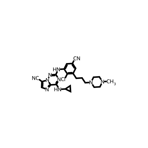 CN1CCN(CCCc2cc(C#N)cc(Nc3nc(NC4CC4)c4ncc(C#N)n4n3)c2Cl)CC1